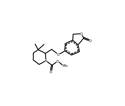 CC(C)(C)OC(=O)N1CCCC(C)(C)C1COc1ccc2c(c1)COC2=O